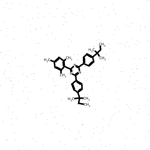 CCC(C)(C)c1ccc(-c2nc(-c3ccc(C(C)(C)CC)cc3)nc(-c3c(C)cc(C)cc3C)n2)cc1